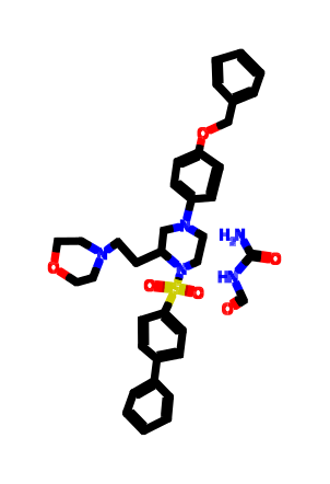 NC(=O)NC=O.O=S(=O)(c1ccc(-c2ccccc2)cc1)N1CCN(c2ccc(OCc3ccccc3)cc2)CC1CCN1CCOCC1